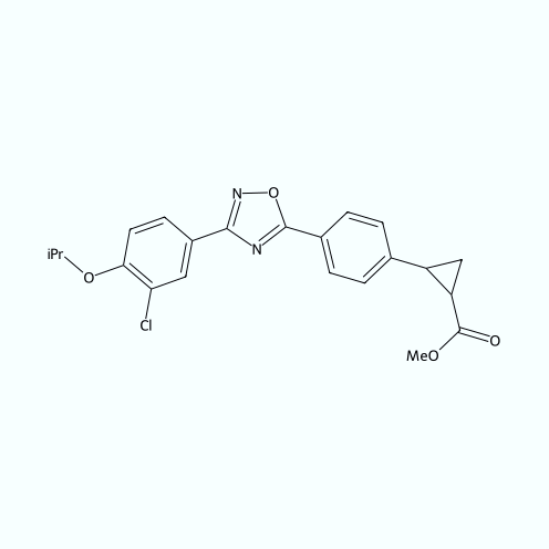 COC(=O)C1CC1c1ccc(-c2nc(-c3ccc(OC(C)C)c(Cl)c3)no2)cc1